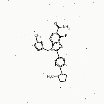 CC1CCCN1c1ccc(-c2nc3c(F)c(C(N)=O)ccc3n2Cc2ccn(C)n2)cn1